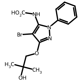 CC(C)(O)COc1nn(-c2ccccc2)c(NC(=O)O)c1Br